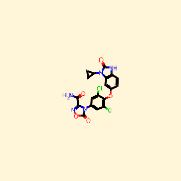 NC(=O)c1noc(=O)n1-c1cc(Cl)c(Oc2ccc3[nH]c(=O)n(C4CC4)c3c2)c(Cl)c1